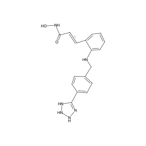 O=C(/C=C/c1ccccc1NCc1ccc(C2=NNNN2)cc1)NO